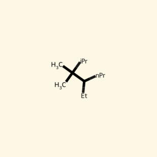 [CH2]C(C)C(C)(C)C(CC)CCC